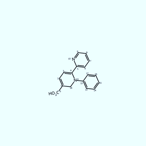 O=C(O)C1=CC=C(c2ccccn2)N(c2ccccc2)C1